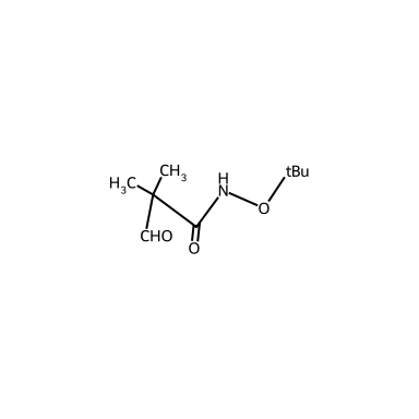 CC(C)(C)ONC(=O)C(C)(C)C=O